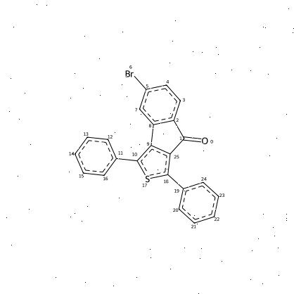 O=C1c2ccc(Br)cc2-c2c(-c3ccccc3)sc(-c3ccccc3)c21